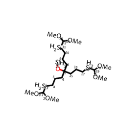 COC(OC)[SiH2]CCCC(CCC[SiH2]C(OC)OC)(CCC[SiH2]C(OC)OC)O[SiH3]